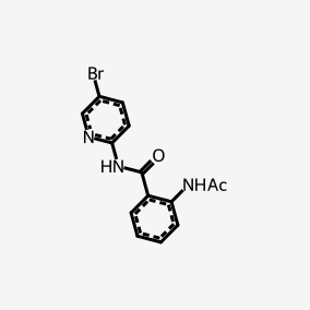 CC(=O)Nc1ccccc1C(=O)Nc1ccc(Br)cn1